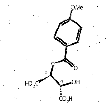 COc1ccc(C(=O)O[C@H](C(=O)O)[C@H](O)C(=O)O)cc1